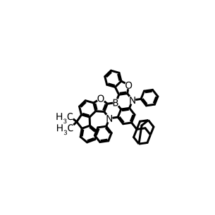 CC1(C)c2ccccc2-c2c1ccc1oc3c(c21)N(c1ccccc1)c1cc(C24CC5CC(CC(C5)C2)C4)cc2c1B3c1c(oc3ccccc13)N2c1ccccc1